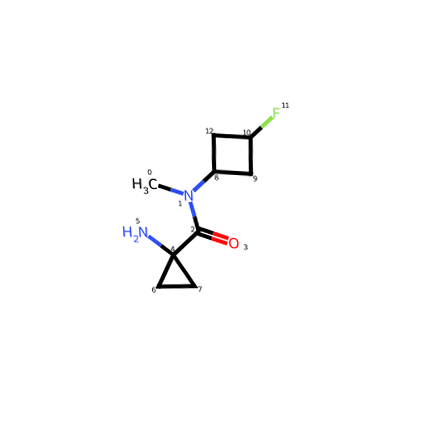 CN(C(=O)C1(N)CC1)C1CC(F)C1